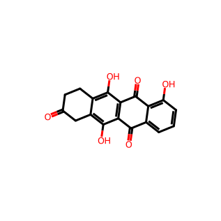 O=C1CCc2c(O)c3c(c(O)c2C1)C(=O)c1cccc(O)c1C3=O